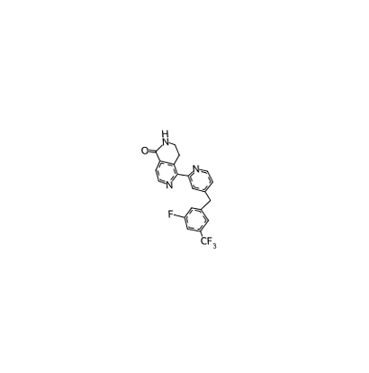 O=C1NCCc2c1ccnc2-c1cc(Cc2cc(F)cc(C(F)(F)F)c2)ccn1